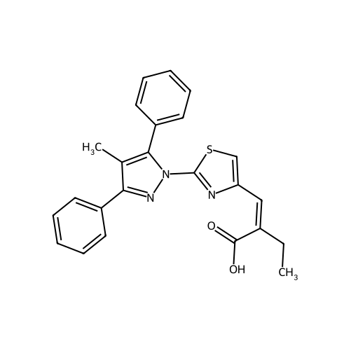 CCC(=Cc1csc(-n2nc(-c3ccccc3)c(C)c2-c2ccccc2)n1)C(=O)O